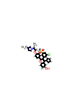 CC1CCN(C(C)COc2ccc(C3Oc4cc(F)c(O)cc4C(C4CCCC4)=C3c3cc(Cl)cc(S(C)(=O)=O)c3)cc2)C1